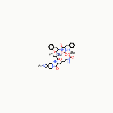 CC(=O)N1CC2(CCN(C(=O)C(CCCCNC(=O)OC(C)(C)C)NC(=O)C(CC(C)C)NC(=O)C(Cc3ccccc3)NC(=O)C(Cc3ccccc3)NC(=O)OC(C)(C)C)CC2)C1